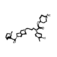 CC(=O)N1CCC(OC(=O)N(CCCN2CC3CN(C(=O)c4cccn4C)CC3C2)c2ccc(C)c(Cl)c2)CC1